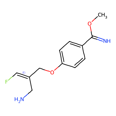 COC(=N)c1ccc(OC/C(=C/F)CN)cc1